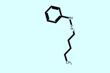 CCCCC[PH3]Pc1ccccc1